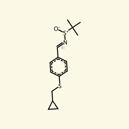 CC(C)(C)[S+]([O-])/N=C/c1ccc(SCC2CC2)cc1